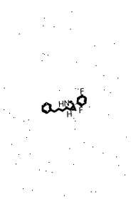 Fc1ccc(F)c([C@@]23CNC(CCCc4ccccc4)[C@@H]2C3)c1